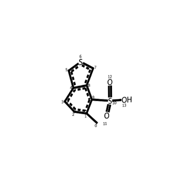 Cc1ccc2cscc2c1S(=O)(=O)O